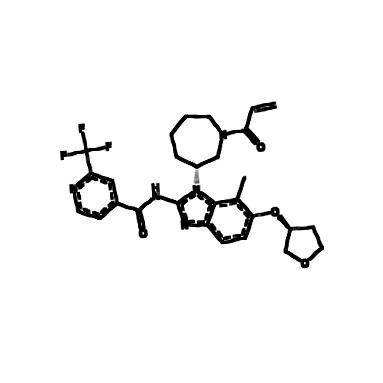 C=CC(=O)N1CCCC[C@@H](n2c(NC(=O)c3ccnc(C(F)(F)F)c3)nc3ccc(O[C@H]4CCOC4)c(C)c32)C1